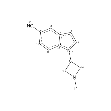 CN1CC(n2ccc3cc(C#N)ccc32)C1